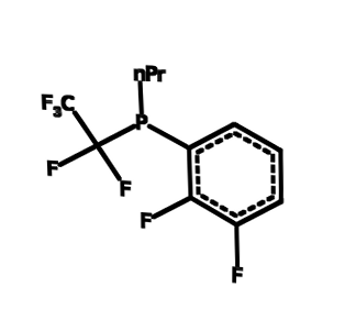 CCCP(c1cccc(F)c1F)C(F)(F)C(F)(F)F